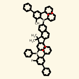 Cc1cc(-c2ccccc2)cc(-c2ccccc2)c1N(c1ccccc1)c1ccc2c3c(ccc2c1)-c1ccc(N(c2ccccc2)c2c(F)cc(-c4ccccc4)cc2-c2ccccc2)cc1C3(C)C